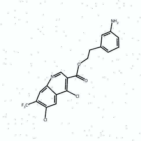 Nc1cccc(CCOC(=O)c2cnc3cc(C(F)(F)F)c(Cl)cc3c2Cl)c1